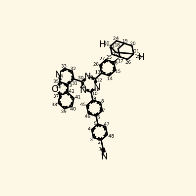 N#Cc1ccc(-c2ccc(-c3nc(-c4ccc([C@]56CC7C[C@H](C[C@H](C7)C5)C6)cc4)nc(-c4ccnc5oc6ccccc6c45)n3)cc2)cc1